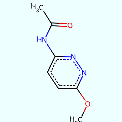 COc1ccc(NC(C)=O)nn1